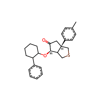 Cc1ccc([C@@]23CSCC2[C@@H](OC2CCCCC2c2ccccc2)C(=O)C3)cc1